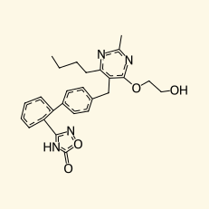 CCCCc1nc(C)nc(OCCO)c1Cc1ccc(-c2ccccc2-c2noc(=O)[nH]2)cc1